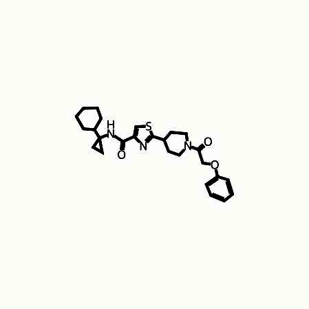 O=C(NC1(C2CCCCC2)CC1)c1csc(C2CCN(C(=O)COc3ccccc3)CC2)n1